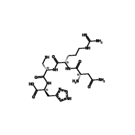 N=C(N)NCCC[C@H](NC(=O)[C@@H](N)CC(N)=O)C(=O)N[C@@H](CS)C(=O)N[C@@H](Cc1c[nH]cn1)C(=O)O